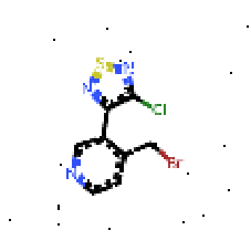 Clc1nsnc1-c1cnccc1CBr